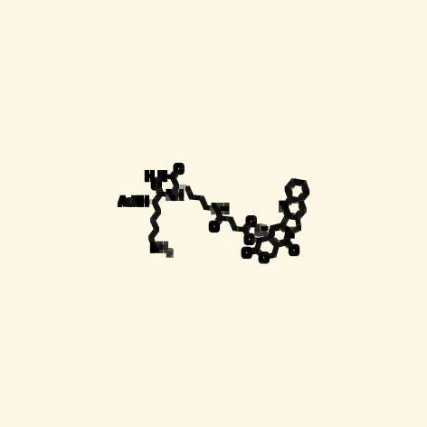 CC[C@@]1(OC(=O)CCC(=O)NCCCC[C@H](NC(=O)[C@H](CCCCN)NC(C)=O)C(N)=O)C(=O)OCc2c1cc1n(c2=O)Cc2cc3ccccc3nc2-1